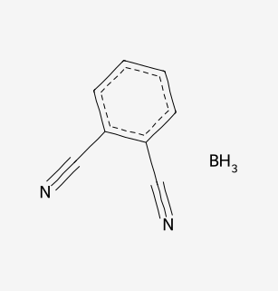 B.N#Cc1ccccc1C#N